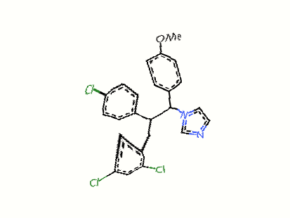 COc1ccc(C(C(Cc2ccc(Cl)cc2Cl)c2ccc(Cl)cc2)n2ccnc2)cc1